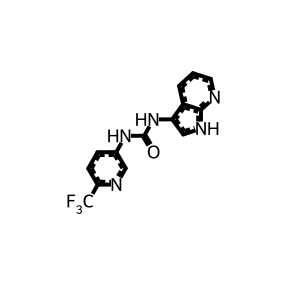 O=C(Nc1ccc(C(F)(F)F)nc1)Nc1c[nH]c2ncccc12